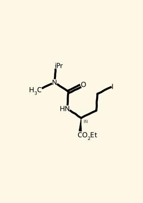 CCOC(=O)[C@H](CCI)NC(=O)N(C)C(C)C